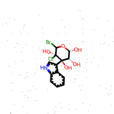 O[C@H]1OC(Br)[C@](O)(Cl)[C@@](O)(c2c[nH]c3ccccc23)[C@H]1O